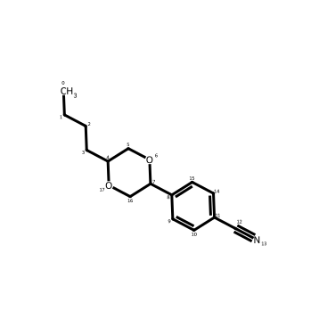 CCCCC1COC(c2ccc(C#N)cc2)CO1